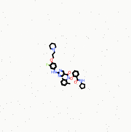 Cc1cccc(C)c1N(Oc1ccccc1C(=O)NC1CCCC1)C(=O)c1cnc(Nc2ccc(OCCCN3CCCCC3)c(F)c2)nc1